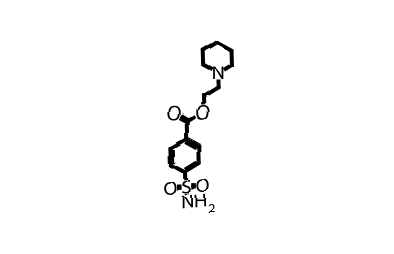 NS(=O)(=O)c1ccc(C(=O)OCCN2CCCCC2)cc1